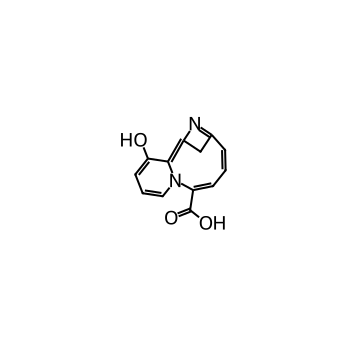 O=C(O)c1cccc2nc(c3c(O)cccn13)C2